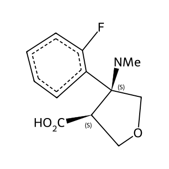 CN[C@@]1(c2ccccc2F)COC[C@H]1C(=O)O